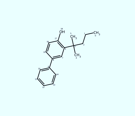 CCCC(C)(C)c1cc(-c2ccccc2)ccc1O